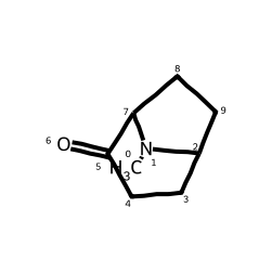 CN1C2CCC(=O)C1CC2